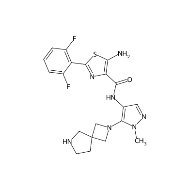 Cn1ncc(NC(=O)c2nc(-c3c(F)cccc3F)sc2N)c1N1CC2(CCNC2)C1